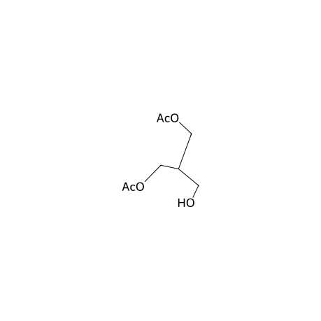 CC(=O)OCC(CO)COC(C)=O